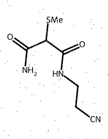 CSC(C(N)=O)C(=O)NCCC#N